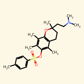 Cc1ccc(S(=O)(=O)Oc2c(C)c(C)c3c(c2C)CCC(C)(CCN(C)C)O3)cc1